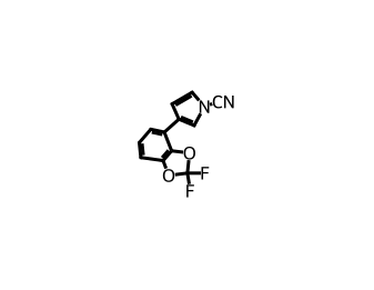 N#Cn1ccc(-c2cccc3c2OC(F)(F)O3)c1